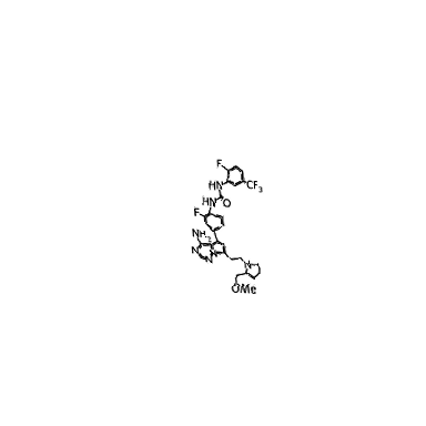 COC[C@@H]1CCCN1CCc1cc(-c2ccc(NC(=O)Nc3cc(C(F)(F)F)ccc3F)c(F)c2)c2c(N)ncnn12